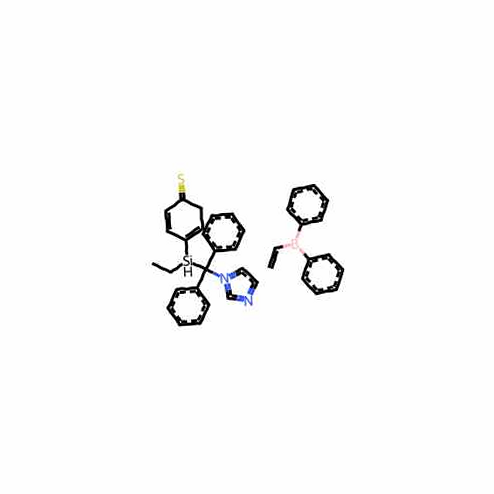 C=CB(c1ccccc1)c1ccccc1.CC[SiH](C1=CCC(=S)C=C1)C(c1ccccc1)(c1ccccc1)n1ccnc1